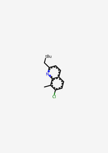 Cc1c(Cl)ccc2ccc(CC(C)(C)C)nc12